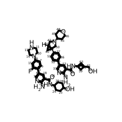 Nc1ncc(-c2ccc(N3CCNCC3)cc2F)cc1C(=O)NC1CCC(O)CC1.Nc1ncc(-c2ccc([C@@]34C[C@@H]3CN(C3CCOCC3)C4)cc2)cc1C(=O)NC12CC(CO)(C1)C2